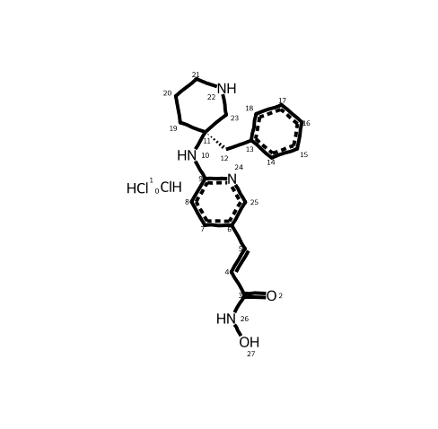 Cl.Cl.O=C(/C=C/c1ccc(N[C@@]2(Cc3ccccc3)CCCNC2)nc1)NO